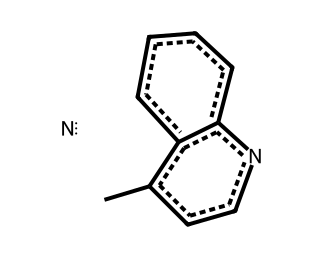 Cc1ccnc2ccccc12.[N]